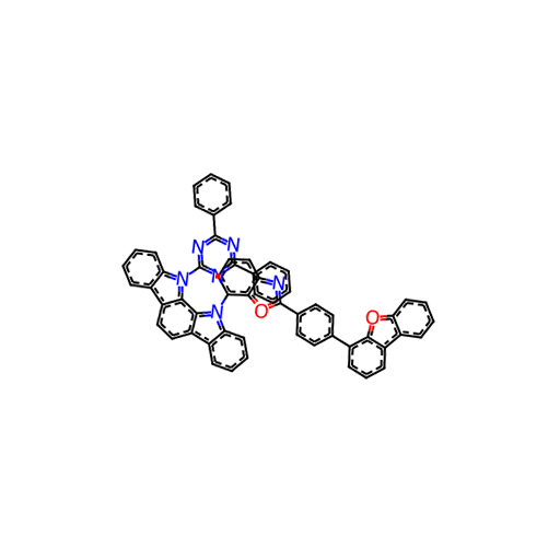 c1ccc(-c2nc(-c3ccccc3)nc(-n3c4ccccc4c4ccc5c6ccccc6n(-c6cccc7nc(-c8ccc(-c9cccc%10c9oc9ccccc9%10)cc8)oc67)c5c43)n2)cc1